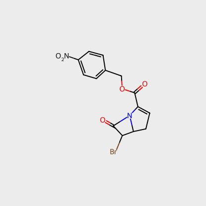 O=C(OCc1ccc([N+](=O)[O-])cc1)C1=CCC2C(Br)C(=O)N12